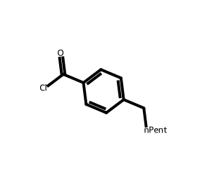 CCCCCCc1ccc(C(=O)Cl)cc1